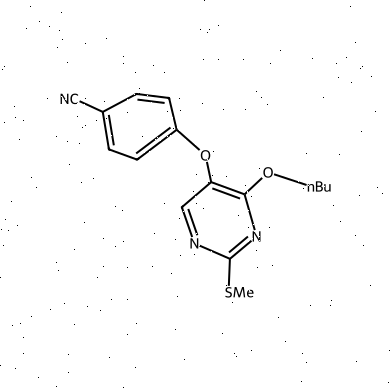 CCCCOc1nc(SC)ncc1Oc1ccc(C#N)cc1